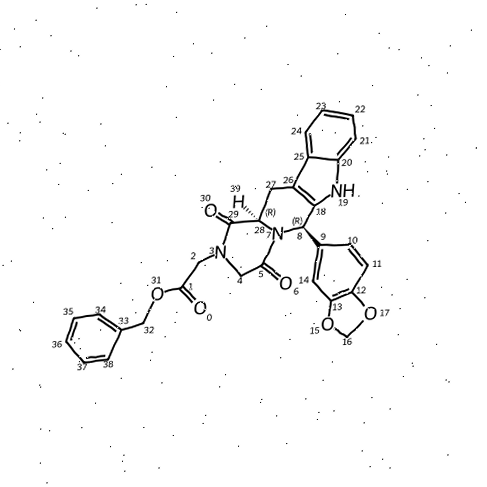 O=C(CN1CC(=O)N2[C@H](c3ccc4c(c3)OCO4)c3[nH]c4ccccc4c3C[C@@H]2C1=O)OCc1ccccc1